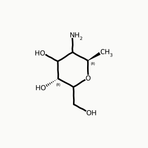 C[C@H]1OC(CO)[C@H](O)C(O)C1N